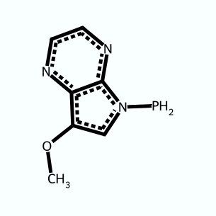 COc1cn(P)c2nccnc12